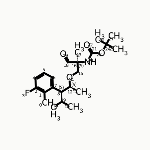 Cc1c(F)cccc1[C@H](C(C)C)[C@H](C)OC[C@@](C)(C=O)NC(=O)OC(C)(C)C